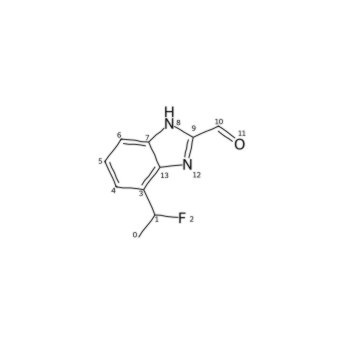 CC(F)c1cccc2[nH]c(C=O)nc12